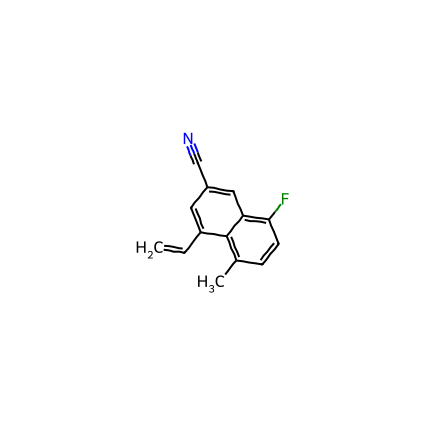 C=Cc1cc(C#N)cc2c(F)ccc(C)c12